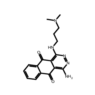 CN(C)CCCNc1nnc(N)c2c1C(=O)c1ccccc1C2=O